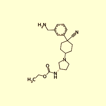 CCOC(=O)N[C@H]1CCN(C2CCC(C#N)(c3cccc(CN)c3)CC2)C1